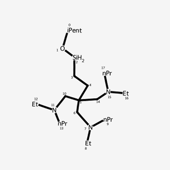 CCCC(C)O[SiH2]CCC(CN(CC)CCC)(CN(CC)CCC)CN(CC)CCC